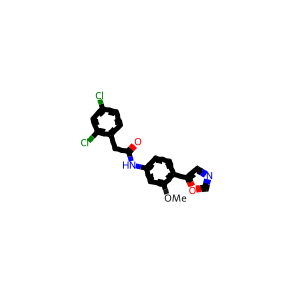 COc1cc(NC(=O)Cc2ccc(Cl)cc2Cl)ccc1-c1cnco1